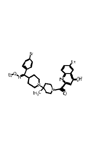 CCO/N=C(\c1ccc(Br)cc1)C1CCN(C2(C)CCN(C(=O)c3cc(O)c4cc(CC)ccc4n3)CC2)CC1